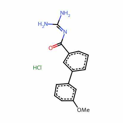 COc1cccc(-c2cccc(C(=O)N=C(N)N)c2)c1.Cl